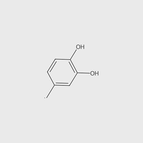 [CH2]c1ccc(O)c(O)c1